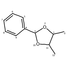 CC1OC(c2ccccc2)OC1C